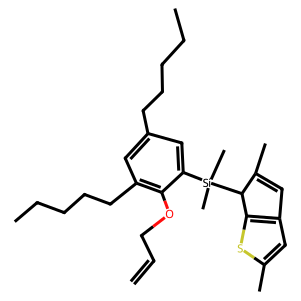 C=CCOc1c(CCCCC)cc(CCCCC)cc1[Si](C)(C)C1C(C)=Cc2cc(C)sc21